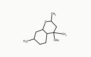 CC(=O)OC1(C)CC(C)OC2CC(C)CCC21